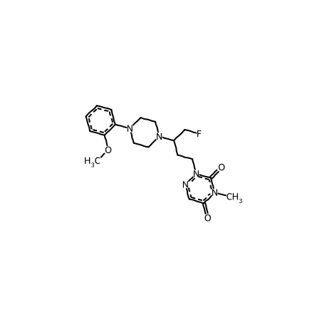 COc1ccccc1N1CCN(C(CF)CCn2ncc(=O)n(C)c2=O)CC1